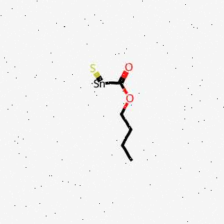 CCCCO[C](=O)[Sn]=[S]